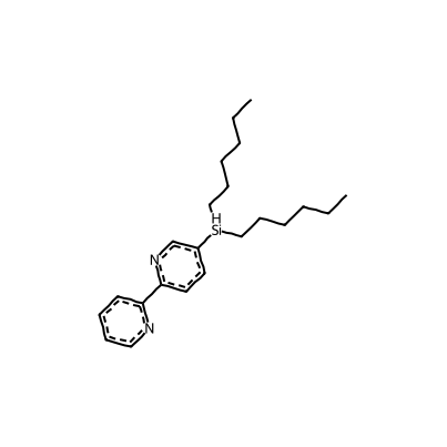 CCCCCC[SiH](CCCCCC)c1ccc(-c2ccccn2)nc1